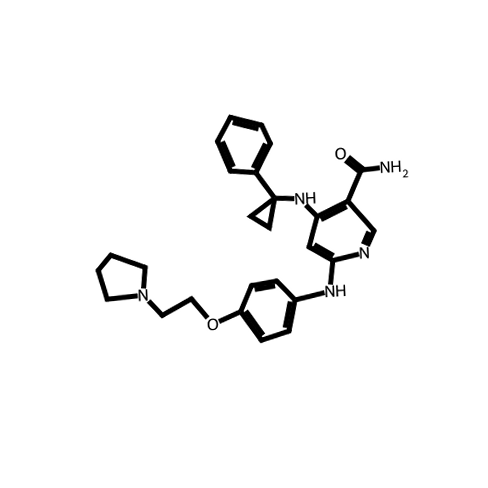 NC(=O)c1cnc(Nc2ccc(OCCN3CCCC3)cc2)cc1NC1(c2ccccc2)CC1